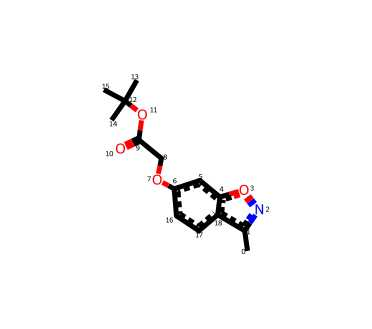 Cc1noc2cc(OCC(=O)OC(C)(C)C)ccc12